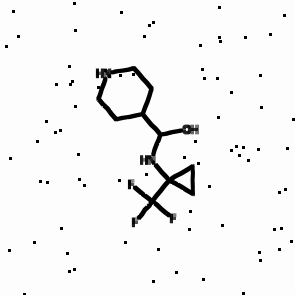 OC(NC1(C(F)(F)F)CC1)C1CCNCC1